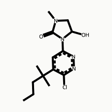 CCCC(C)(C)c1cc(N2C(=O)N(C)CC2O)nnc1Cl